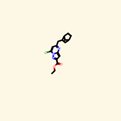 CCOC(=O)c1cc2nc(CC3CC4CCC3C4)cc(Cl)n2n1